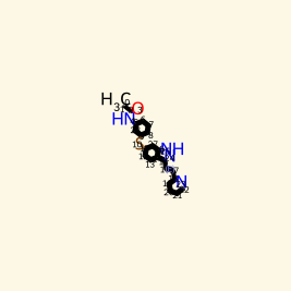 CCC(=O)Nc1cccc(Sc2ccc3c(/C=C/c4ccccn4)n[nH]c3c2)c1